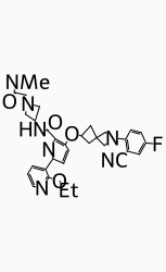 CCOc1ncccc1-c1ccc(OC2CC3(C2)CN(c2ccc(F)cc2C#N)C3)c(C(=O)NC2CN(CC(=O)NC)C2)n1